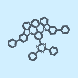 c1ccc(-c2ccc3c(c2)c2ccccc2n3-c2cc(-c3nc(-c4ccccc4)nc(-c4ccccc4)n3)cc(-n3c4ccccc4c4cc(-c5ccccc5)ccc43)c2-c2ccccc2)cc1